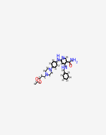 CC1OC(CCN2CCN(c3ccc(Nc4cc(NCc5ccccc5)c(C(N)=O)cn4)cc3)CC2)O1